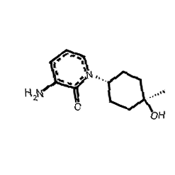 C[C@]1(O)CC[C@H](n2cccc(N)c2=O)CC1